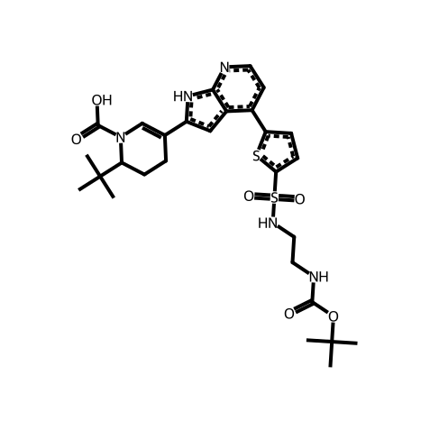 CC(C)(C)OC(=O)NCCNS(=O)(=O)c1ccc(-c2ccnc3[nH]c(C4=CN(C(=O)O)C(C(C)(C)C)CC4)cc23)s1